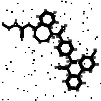 CCOC(=O)CN1CCCN(C(=O)c2ccc(NC(=O)c3ccccc3-c3ccc(C)cc3)cc2)c2ccccc21